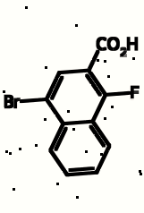 O=C(O)c1cc(Br)c2ccccc2c1F